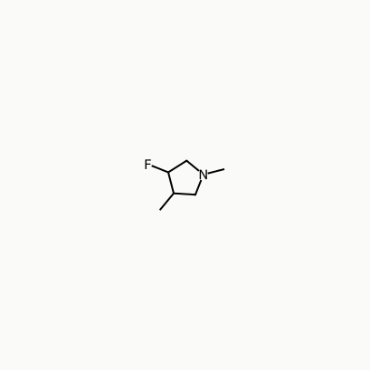 CC1CN(C)CC1F